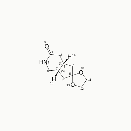 O=C1C[C@@H]2CC3(C[C@@H]2CN1)OCCO3